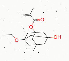 C=C(C)C(=O)OC12CC3(C)CC(O)(CC(OCC)(C3)C1)C2